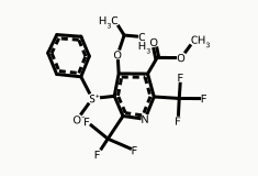 COC(=O)c1c(C(F)(F)F)nc(C(F)(F)F)c([S+]([O-])c2ccccc2)c1OC(C)C